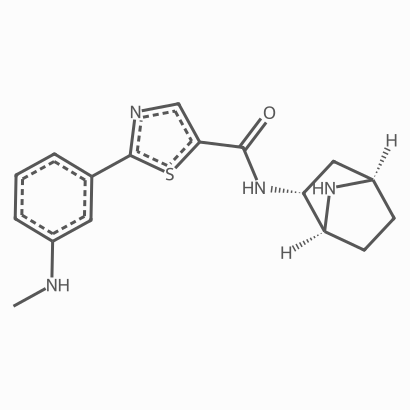 CNc1cccc(-c2ncc(C(=O)N[C@@H]3C[C@H]4CC[C@@H]3N4)s2)c1